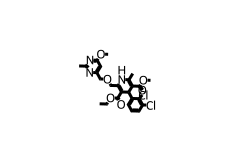 CCOC(=O)C1=C(COCc2cc(OC)nc(C)n2)NC(C)=C(C(=O)OC)C1c1cccc(Cl)c1Cl